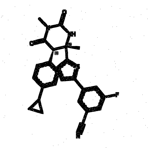 CN1C(=O)N[C@](C)(c2ccc(-c3cc(F)cc(C#N)c3)s2)[C@H](c2ccc(C3CC3)cc2)C1=O